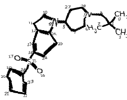 CC(C)(C)CN1CCC(N2CCc3cc(S(=O)(=O)c4ccccc4)ccc32)CC1